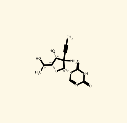 CC#CC1(N)[C@@H](O)[C@@H]([C@@H](C)O)O[C@H]1n1cnc(=O)[nH]c1=O